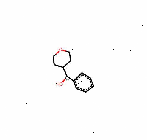 O[C@H](c1ccccc1)C1CCOCC1